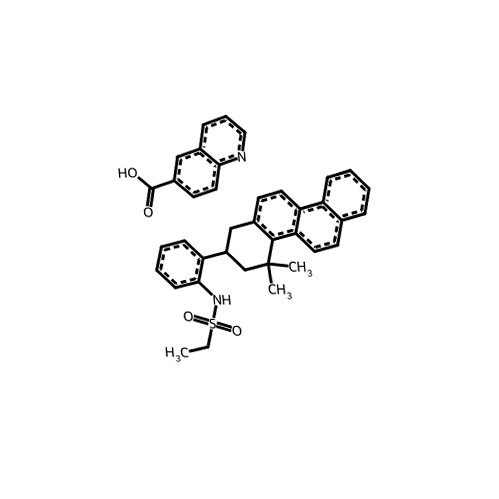 CCS(=O)(=O)Nc1ccccc1C1Cc2ccc3c(ccc4ccccc43)c2C(C)(C)C1.O=C(O)c1ccc2ncccc2c1